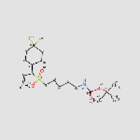 C=CC(C1CCC(F)(F)CC1)S(=O)(=O)CCCCCNC(=O)OC(C)(C)C